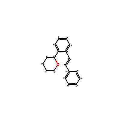 C(=Cc1ccccc1C1CCCCO1)c1ccccc1